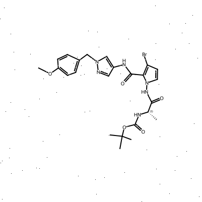 COc1ccc(Cn2cc(NC(=O)c3c(Br)ccn3NC(=O)[C@H](C)NC(=O)OC(C)(C)C)cn2)cc1